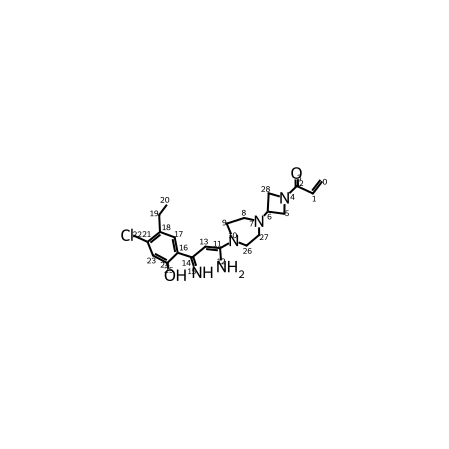 C=CC(=O)N1CC(N2CCN(/C(N)=C/C(=N)c3cc(CC)c(Cl)cc3O)CC2)C1